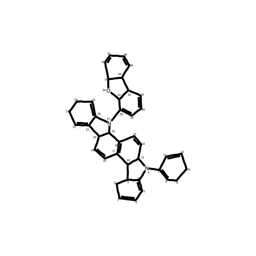 C1=CCC2C(=C1)N(C1=CCCC=C1)C1C=CC3=C(C=CC4C5=CCCC=C5N(C5=CC=CC6C5OC5C=CC=CC56)C34)C21